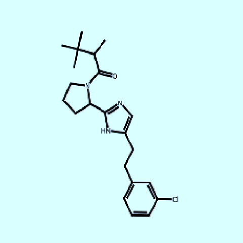 CC(C(=O)N1CCCC1c1ncc(CCc2cccc(Cl)c2)[nH]1)C(C)(C)C